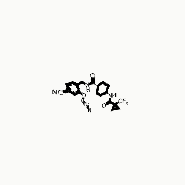 N#Cc1ccc(CNC(=O)[C@H]2CC[C@@H](NC(=O)C3(C(F)(F)F)CC3)CC2)c(ON=[N+]=[N-])c1